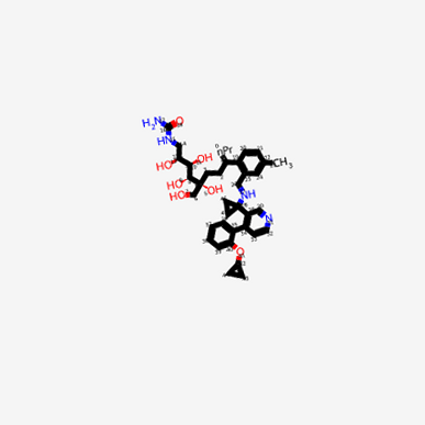 CCCC(CC[C@@](O)(CO)[C@H](O)[C@H](O)[C@@H](O)CNC(N)=O)c1ccc(C)cc1CNC1(c2cnccc2-c2ccccc2OC2CC2)CC1